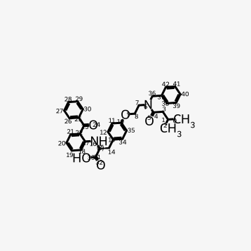 CC(C)CC(=O)N(CCOc1ccc(C[C@H](Nc2ccccc2C(=O)c2ccccc2)C(=O)O)cc1)Cc1ccccc1